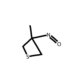 CC1(N=O)CSC1